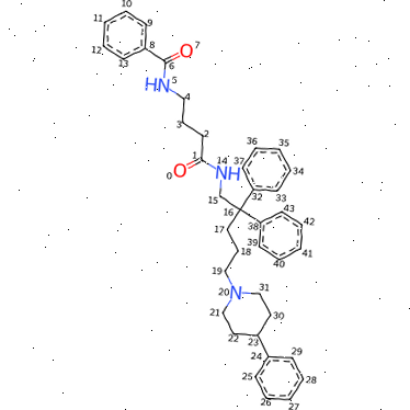 O=C(CCCNC(=O)c1ccccc1)NCC(CCCN1CCC(c2ccccc2)CC1)(c1ccccc1)c1ccccc1